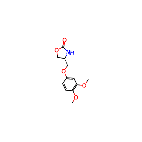 COc1ccc(OC[C@@H]2COC(=O)N2)cc1OC